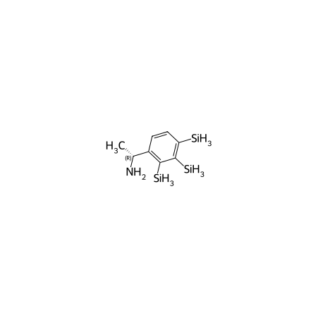 C[C@@H](N)c1ccc([SiH3])c([SiH3])c1[SiH3]